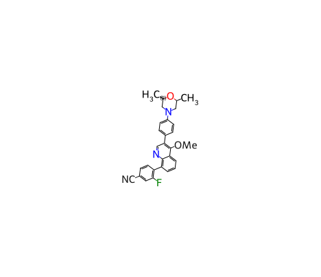 COc1c(-c2ccc(N3CC(C)O[C@H](C)C3)cc2)cnc2c(-c3ccc(C#N)cc3F)cccc12